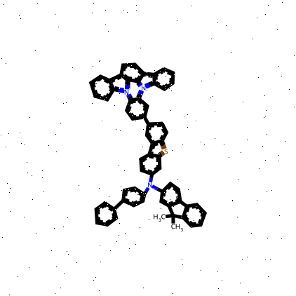 CC1(C)c2ccccc2-c2ccc(N(c3ccc(-c4ccccc4)cc3)c3ccc4c(c3)sc3ccc(-c5ccc6c(c5)n5c7ccccc7c7ccc8c9ccccc9n6c8c75)cc34)cc21